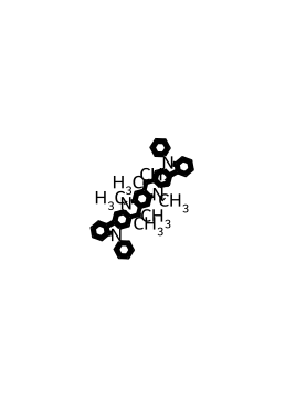 CN1c2cc3c(cc2C(C)(C)c2cc4c(cc21)c1ccccc1n4-c1ccccc1)N(C)c1cc2c4ccccc4n(-c4ccccc4)c2cc1C3(C)C